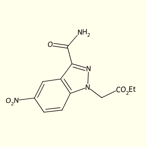 CCOC(=O)Cn1nc(C(N)=O)c2cc([N+](=O)[O-])ccc21